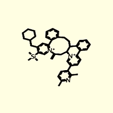 C=C1CC2C(CCc3ccccc3-c3cc(CC4CCCCC4)c([Si](C)(C)C)c[n+]31)c1ccccc1-c1ccc(-c3ccc(C)nc3C)c[n+]12